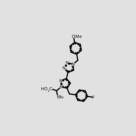 COc1ccc(Cn2cc(-c3cc(Cc4ccc(F)cc4)n(C(C(=O)O)C(C)(C)C)n3)nn2)cc1